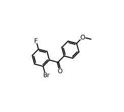 COc1ccc(C(=O)c2cc(F)ccc2Br)cc1